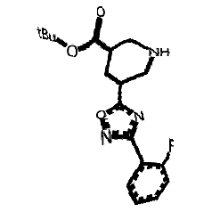 CC(C)(C)OC(=O)C1CNCC(c2nc(-c3ccccc3F)no2)C1